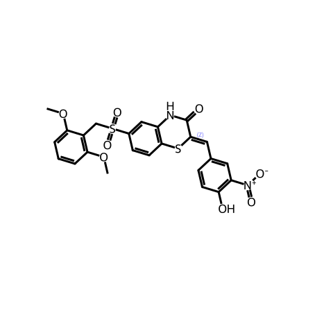 COc1cccc(OC)c1CS(=O)(=O)c1ccc2c(c1)NC(=O)/C(=C/c1ccc(O)c([N+](=O)[O-])c1)S2